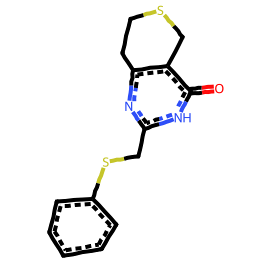 O=c1[nH]c(CSc2ccccc2)nc2c1CSCC2